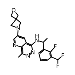 Cc1nnc(NC(C)c2cccc(C(F)F)c2F)c2cc(N3CC4(COC4)C3)cnc12